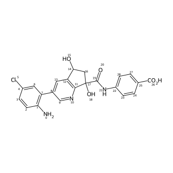 Nc1ccc(Cl)cc1-c1cnc2c(c1)C(O)CC2(O)C(=O)Nc1ccc(C(=O)O)cc1